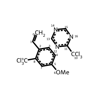 C=Cc1ccc(OC)cc1C(Cl)(Cl)Cl.ClC(Cl)(Cl)c1ncncn1